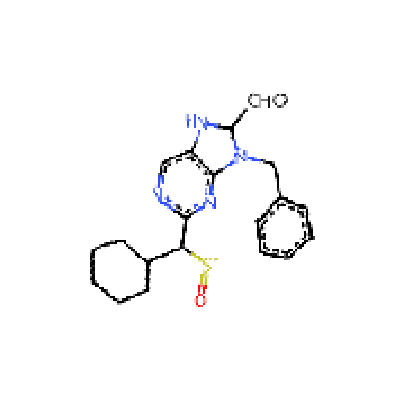 O=CC1Nc2cnc(C([S+]=O)C3CCCCC3)nc2N1Cc1ccccc1